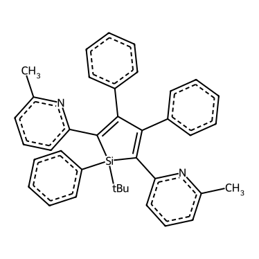 Cc1cccc(C2=C(c3ccccc3)C(c3ccccc3)=C(c3cccc(C)n3)[Si]2(c2ccccc2)C(C)(C)C)n1